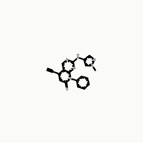 C#Cc1cc(=O)n(-c2ccccc2)c2nc(Nc3cnn(C)c3)ncc12